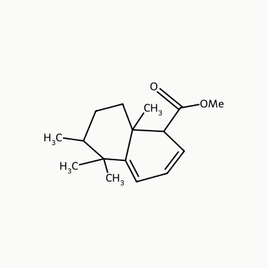 COC(=O)C1C=CC=C2C(C)(C)C(C)CCC21C